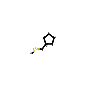 CSC[C]1CCCC1